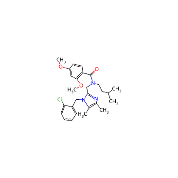 COc1ccc(C(=O)N(CCC(C)C)Cc2nc(C)c(C)n2Cc2ccccc2Cl)c(OC)c1